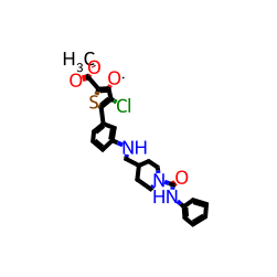 COC(=O)c1sc(-c2cccc(NCC3CCN(C(=O)Nc4ccccc4)CC3)c2)c(Cl)c1[O]